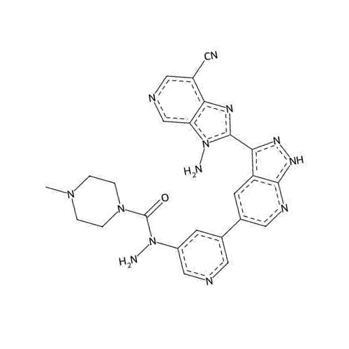 CN1CCN(C(=O)N(N)c2cncc(-c3cnc4[nH]nc(-c5nc6c(C#N)cncc6n5N)c4c3)c2)CC1